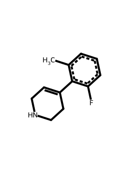 Cc1cccc(F)c1C1=CCNCC1